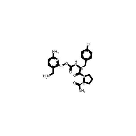 CC(C)(C)OC(=O)N[C@@H](Cc1ccc(Cl)cc1)C(=O)N1CCC[C@H]1C(N)=O.NCc1ccc(N)nc1